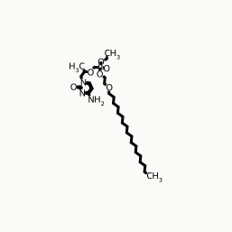 CCCCCCCCCCCCCCCCCCOCCOP(=O)(COC(C)Cn1ccc(N)nc1=O)OCC